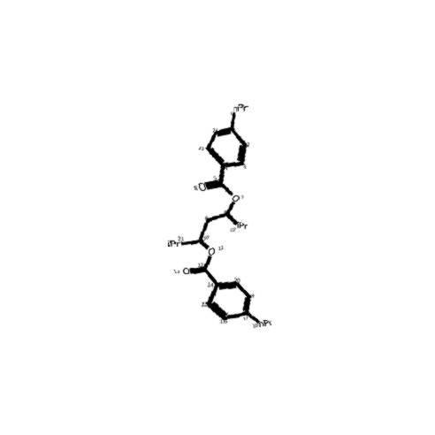 CCCc1ccc(C(=O)OC(CC(OC(=O)c2ccc(CCC)cc2)C(C)C)C(C)C)cc1